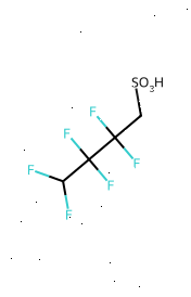 O=S(=O)(O)CC(F)(F)C(F)(F)C(F)F